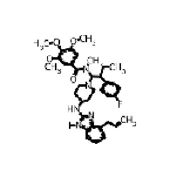 C=CCc1cccc2c1nc(NC1CCN(C(C(CC)c3ccc(F)cc3)N(C)C(=O)c3cc(OC)c(OC)c(OC)c3)CC1)n2I